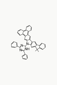 CC1(C)c2ccccc2-c2cc3c4cc5c6ccccc6c6ccccc6c5cc4n(C4N=C(c5ccccc5)N=C(c5ccccc5)N4)c3cc21